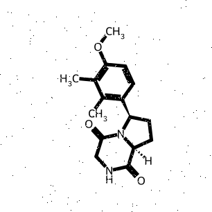 COc1ccc([C@H]2CC[C@H]3C(=O)NCC(=O)N23)c(C)c1C